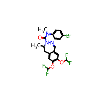 CC1Cc2cc(OC(F)F)c(OC(F)F)cc2C=NN1C(=O)N(C)c1ccc(Br)cc1